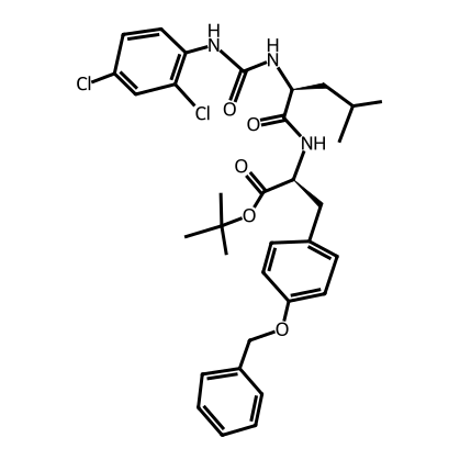 CC(C)C[C@H](NC(=O)Nc1ccc(Cl)cc1Cl)C(=O)N[C@@H](Cc1ccc(OCc2ccccc2)cc1)C(=O)OC(C)(C)C